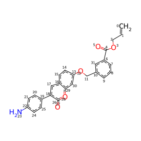 C=CCOC(=O)c1cccc(COc2ccc3cc(-c4ccc(N)cc4)c(=O)oc3c2)c1